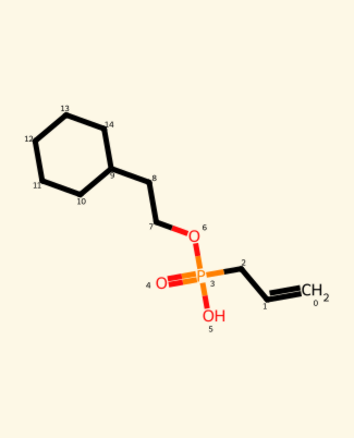 C=CCP(=O)(O)OCCC1CCCCC1